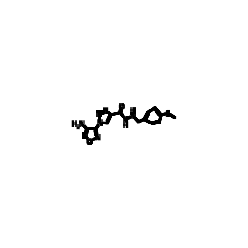 CSc1ccc(CNNC(=O)c2cn(-c3nonc3N)nn2)cc1